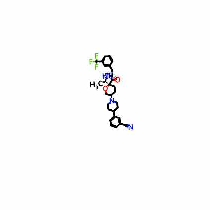 CC(C)[C@]1(C(=O)NCc2cccc(C(F)(F)F)c2)CC[C@@H](N2CCC(c3cccc(C#N)c3)CC2)CO1